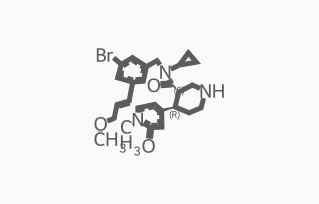 COCC=Cc1cc(Br)cc(CN(C(=O)[C@@H]2CNCC[C@H]2c2ccn(C)c(=O)c2)C2CC2)c1